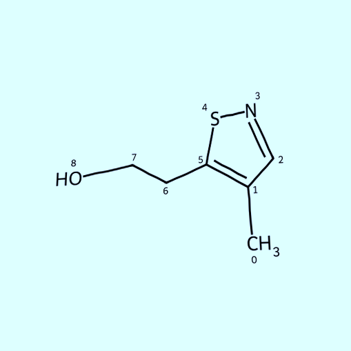 Cc1cnsc1CCO